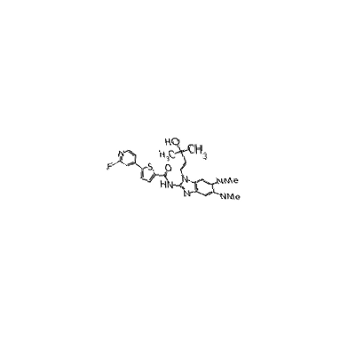 CNc1cc2nc(NC(=O)c3ccc(-c4ccnc(F)c4)s3)n(CCC(C)(C)O)c2cc1NC